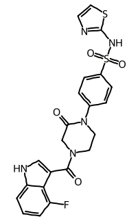 O=C(c1c[nH]c2cccc(F)c12)N1CCN(c2ccc(S(=O)(=O)Nc3nccs3)cc2)C(=O)C1